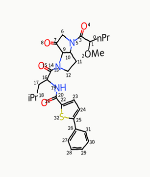 CCCC(OC)C(=O)N1CC(=O)C2C1CCN2C(=O)C(CC(C)C)NC(=O)c1ccc(-c2ccccc2)s1